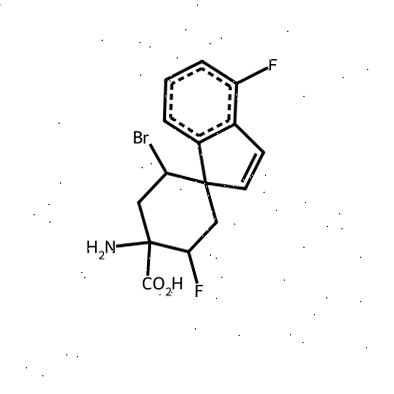 NC1(C(=O)O)CC(Br)C2(C=Cc3c(F)cccc32)CC1F